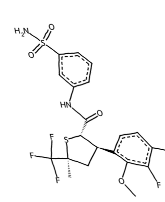 COc1c([C@H]2C[C@@](C)(C(F)(F)F)S[C@@H]2C(=O)Nc2cccc(S(N)(=O)=O)c2)ccc(F)c1F